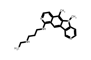 CCNCCCNc1nccc2c(C)c3c(cc12)c1cnccc1n3C